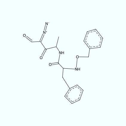 CC(NC(=O)C(Cc1ccccc1)NOCc1ccccc1)C(=O)C(C=O)=[N+]=[N-]